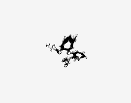 COc1ccc(F)cc1Oc1cccnc1[N+](=O)[O-]